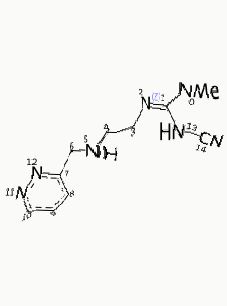 CN/C(=N/CCNCc1cccnn1)NC#N